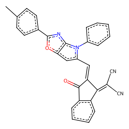 Cc1ccc(-c2nc3c(cc(/C=C4\C(=O)c5ccccc5C4=C(C#N)C#N)n3-c3ccccc3)o2)cc1